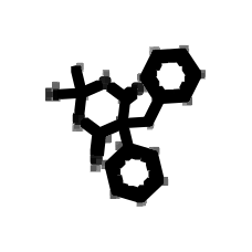 CCC1(C)OC(=O)C(Cc2ccccc2)(c2ccccc2)C(=O)O1